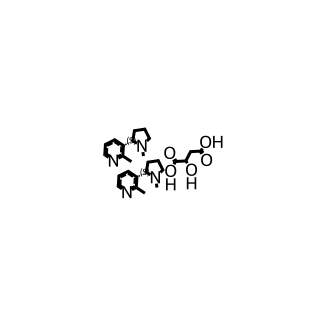 Cc1ncccc1[C@@H]1CCCN1C.Cc1ncccc1[C@@H]1CCCN1C.O=C(O)CC(O)C(=O)O